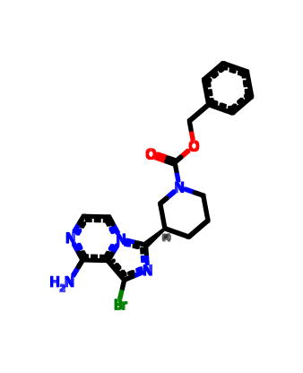 Nc1nccn2c([C@@H]3CCCN(C(=O)OCc4ccccc4)C3)nc(Br)c12